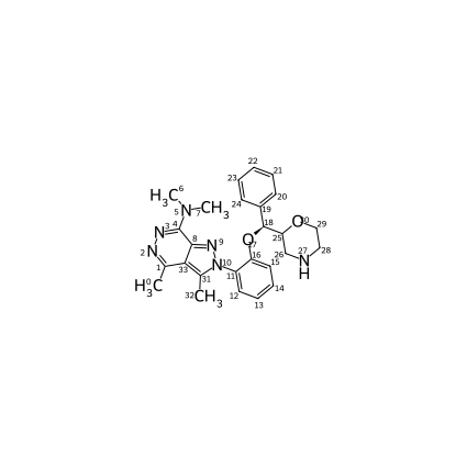 Cc1nnc(N(C)C)c2nn(-c3ccccc3O[C@@H](c3ccccc3)C3CNCCO3)c(C)c12